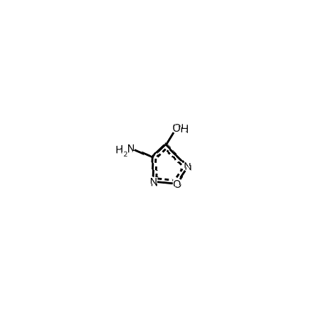 Nc1nonc1O